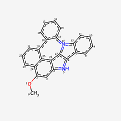 COc1cc2[nH]c3c4ccccc4n4c5ccccc5c5cccc1c5c2c34